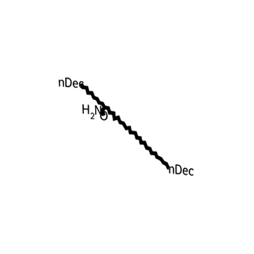 CCCCCCCCCCCCCCCCCCCCCCCCCCCCCCCCCCC(CCCCCCCCCCCCCCCCCC)C(N)=O